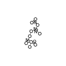 c1ccc(-c2cc(-c3cccc(-n4c5ccccc5c5ccccc54)c3)nc(-c3cccc(-c4ccc(-c5nc6ccccc6c6c(-c7ccccc7)c7c(cc56)oc5ccccc57)cc4)c3)n2)cc1